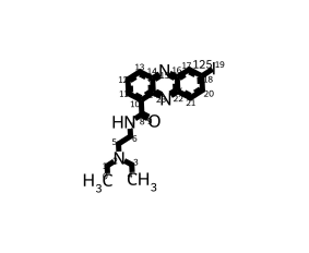 CCN(CC)CCNC(=O)c1cccc2nc3cc([125I])ccc3nc12